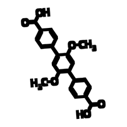 COc1cc(-c2ccc(C(=O)O)cc2)c(OC)cc1-c1ccc(C(=O)O)cc1